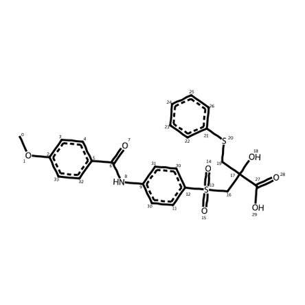 COc1ccc(C(=O)Nc2ccc(S(=O)(=O)CC(O)(CSc3ccccc3)C(=O)O)cc2)cc1